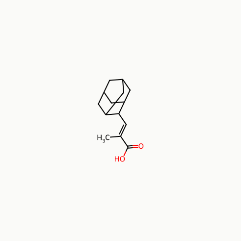 C/C(=C\C1C2CC3CC(C2)CC1C3)C(=O)O